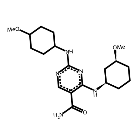 COC1CCC(Nc2ncc(C(N)=O)c(N[C@@H]3CCC[C@H](OC)C3)n2)CC1